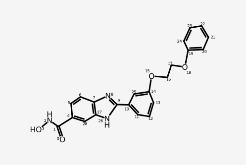 O=C(NO)c1ccc2nc(-c3cccc(OCCOc4ccccc4)c3)[nH]c2c1